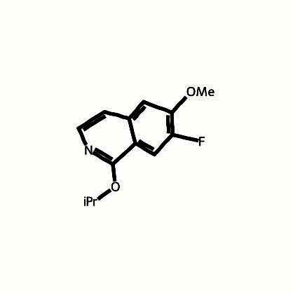 COc1cc2ccnc(OC(C)C)c2cc1F